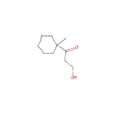 CC1(C(=O)CCO)CCCCC1